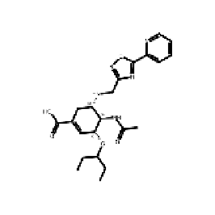 CCC(CC)O[C@@H]1C=C(C(=O)O)C[C@H](NCc2noc(-c3ccccn3)n2)[C@H]1NC(C)=O